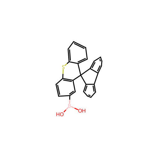 OB(O)c1ccc2c(c1)C1(c3ccccc3S2)c2ccccc2-c2ccccc21